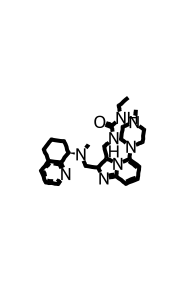 CCNC(=O)NCC1C(CN(C)[C@H]2CCCc3cccnc32)N=C2C=CC=C(N3CCN(C)CC3)N21